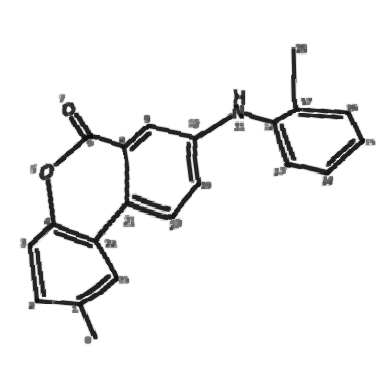 Cc1ccc2oc(=O)c3cc(Nc4ccccc4C)ccc3c2c1